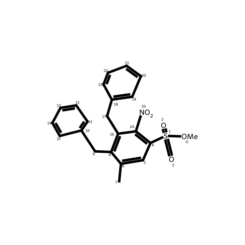 COS(=O)(=O)c1cc(C)c(Cc2ccccc2)c(Cc2ccccc2)c1[N+](=O)[O-]